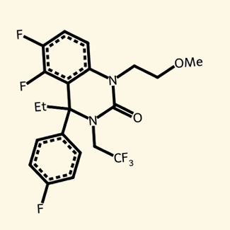 CCC1(c2ccc(F)cc2)c2c(ccc(F)c2F)N(CCOC)C(=O)N1CC(F)(F)F